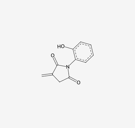 C=C1CC(=O)N(c2ccccc2O)C1=O